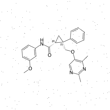 COc1cccc(NC(=O)[C@@H]2C[C@@]2(COc2cnc(C)nc2C)c2ccccc2)c1